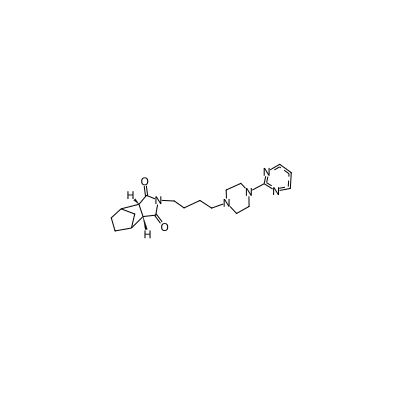 O=C1[C@@H]2C3CCC(C3)[C@@H]2C(=O)N1CCCCN1CCN(c2ncccn2)CC1